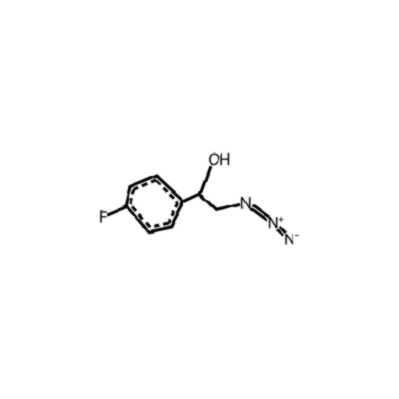 [N-]=[N+]=NCC(O)c1ccc(F)cc1